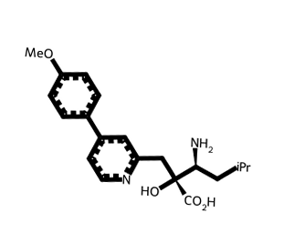 COc1ccc(-c2ccnc(C[C@](O)(C(=O)O)[C@@H](N)CC(C)C)c2)cc1